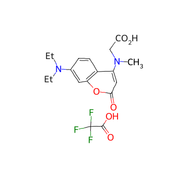 CCN(CC)c1ccc2c(N(C)CC(=O)O)cc(=O)oc2c1.O=C(O)C(F)(F)F